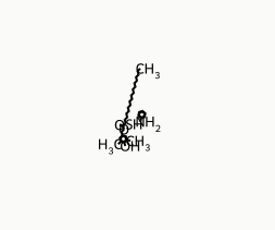 CCCCCCCCCCCCCCCCCCC(S)C(=O)OCc1cc(C)c(O)c(C)c1.Nc1ccccc1